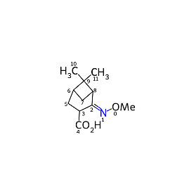 CO/N=C1/C(C(=O)O)CC2CC1C2(C)C